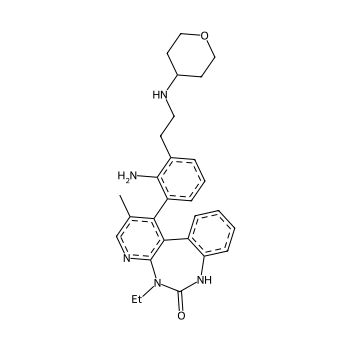 CCN1C(=O)Nc2ccccc2-c2c1ncc(C)c2-c1cccc(CCNC2CCOCC2)c1N